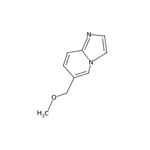 COCc1ccc2nccn2c1